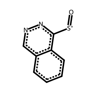 O=[S+]c1nncc2ccccc12